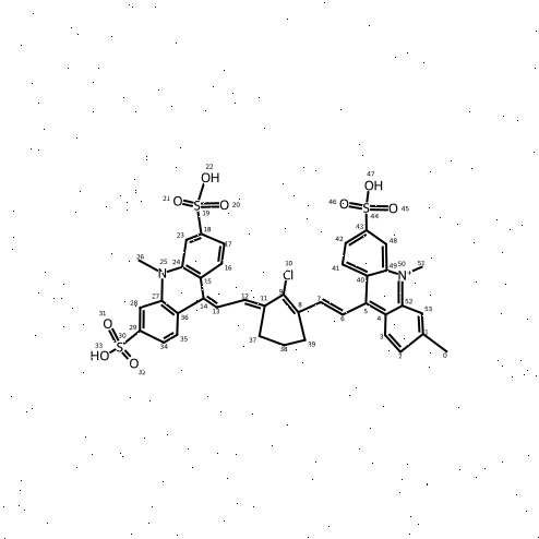 Cc1ccc2c(/C=C/C3=C(Cl)C(=C/C=C4c5ccc(S(=O)(=O)O)cc5N(C)c5cc(S(=O)(=O)O)ccc54)/CCC3)c3ccc(S(=O)(=O)O)cc3[n+](C)c2c1